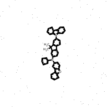 CC1(C)c2cc(N(c3ccccc3)c3ccc4oc5ccccc5c4c3)ccc2-c2ccc(-n3c4ccccc4c4ccccc43)cc21